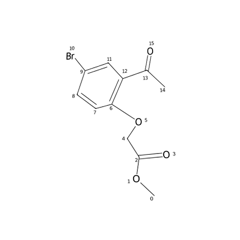 COC(=O)COc1ccc(Br)cc1C(C)=O